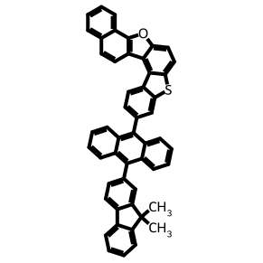 CC1(C)c2ccccc2-c2ccc(-c3c4ccccc4c(-c4ccc5c(c4)sc4ccc6oc7c8ccccc8ccc7c6c45)c4ccccc34)cc21